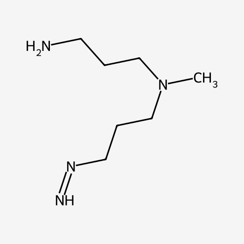 CN(CCCN)CCCN=N